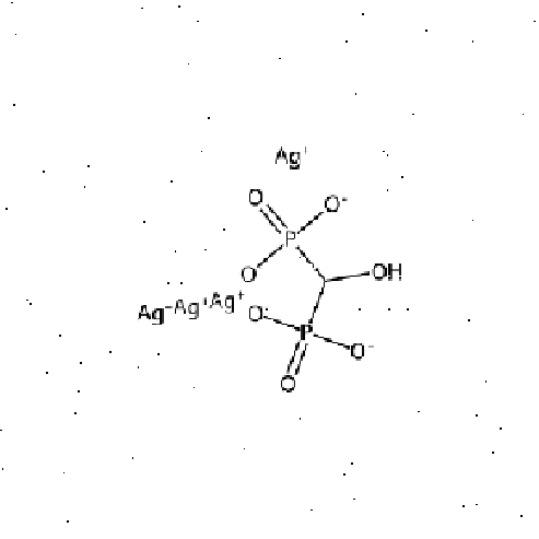 O=P([O-])([O-])C(O)P(=O)([O-])[O-].[Ag+].[Ag+].[Ag+].[Ag+]